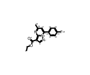 CCOC(=O)c1cnn2c(-c3ccc(F)cc3)cc(C)nc12